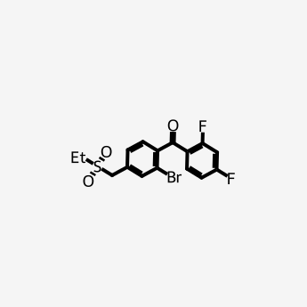 CCS(=O)(=O)Cc1ccc(C(=O)c2ccc(F)cc2F)c(Br)c1